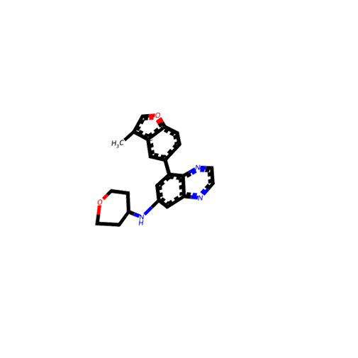 Cc1coc2ccc(-c3cc(NC4CCOCC4)cc4nccnc34)cc12